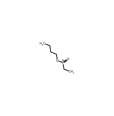 CCCCO[PH](=O)CC